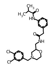 CC(C)C(=O)Nc1cccc(CC(=O)NCC2CN(Cc3ccc(Cl)c(Cl)c3)CCO2)c1